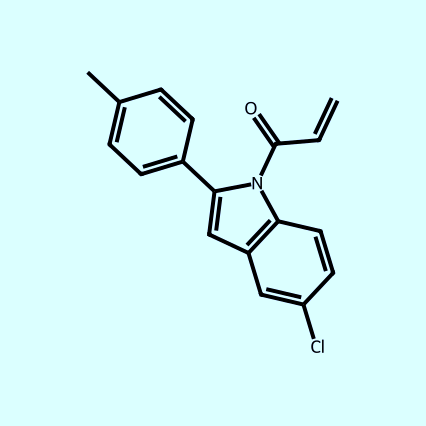 C=CC(=O)n1c(-c2ccc(C)cc2)cc2cc(Cl)ccc21